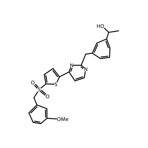 COc1cccc(CS(=O)(=O)c2ccc(-c3ccnc(Cc4cccc(C(C)O)c4)n3)s2)c1